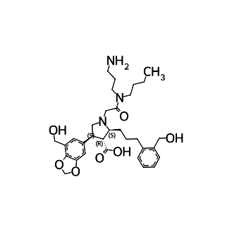 CCCCN(CCCN)C(=O)CN1C[C@H](c2cc(CO)c3c(c2)OCO3)[C@@H](C(=O)O)[C@@H]1CCCc1ccccc1CO